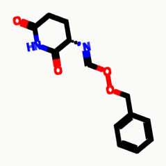 O=C1CC[C@H](/N=C/OOCc2ccccc2)C(=O)N1